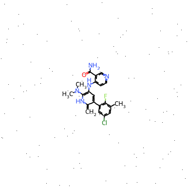 C=C1NC(N(C)C)=C(Nc2ccncc2C(N)=O)C=C1c1cc(Cl)cc(C)c1F